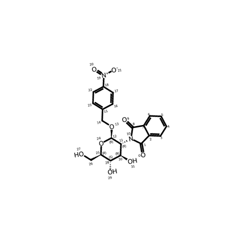 O=C1c2ccccc2C(=O)N1[C@H]1[C@H](OCc2ccc([N+](=O)[O-])cc2)O[C@H](CO)[C@@H](O)[C@@H]1O